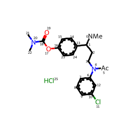 CNC(CCN(C(C)=O)c1cccc(Cl)c1)c1ccc(OC(=O)N(C)C)cc1.Cl